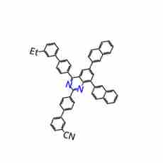 CCc1cccc(-c2ccc(-c3nc(-c4ccc(-c5cccc(C#N)c5)cc4)nc4c(-c5ccc6ccccc6c5)cc(-c5ccc6ccccc6c5)cc34)cc2)c1